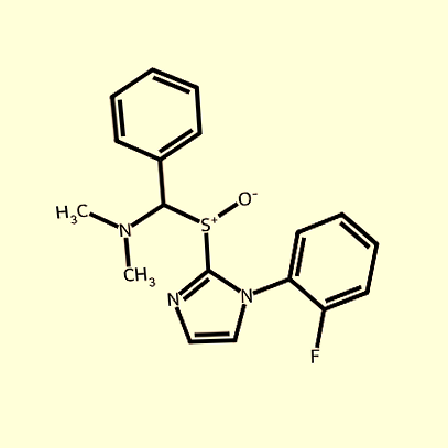 CN(C)C(c1ccccc1)[S+]([O-])c1nccn1-c1ccccc1F